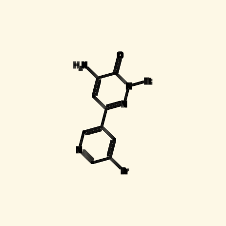 CCn1nc(-c2cncc(Br)c2)cc(N)c1=O